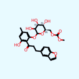 COC(=O)OC[C@H]1OC(Oc2cc(C)cc(O)c2C(=O)CCc2ccc3occc3c2)C(O)[C@@H](O)[C@@H]1O